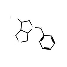 CC1CN(Cc2ccccc2)C2CNCC12